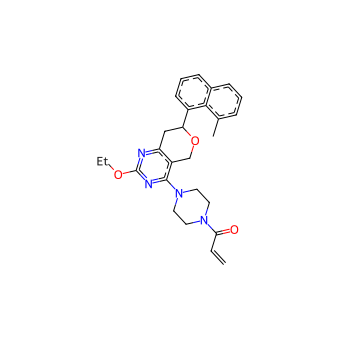 C=CC(=O)N1CCN(c2nc(OCC)nc3c2COC(c2cccc4cccc(C)c24)C3)CC1